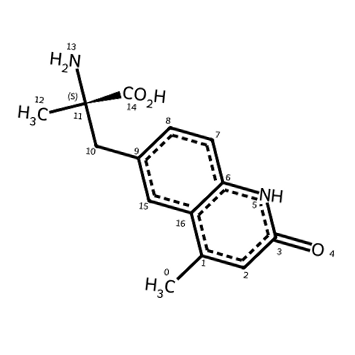 Cc1cc(=O)[nH]c2ccc(C[C@](C)(N)C(=O)O)cc12